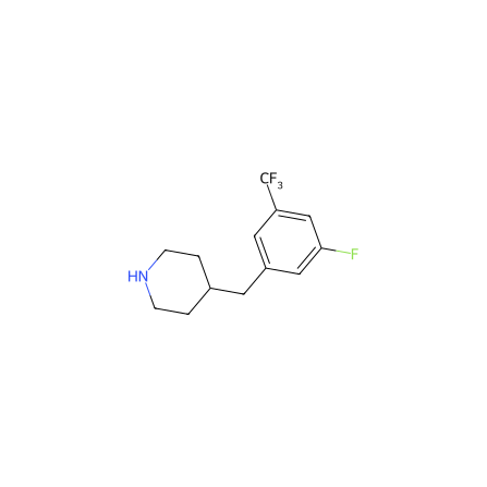 Fc1cc(CC2CCNCC2)cc(C(F)(F)F)c1